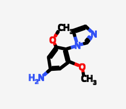 COc1cc(N)cc(OC)c1-n1ccnc1